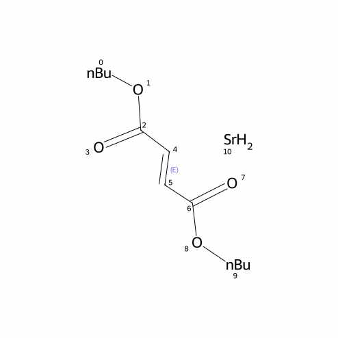 CCCCOC(=O)/C=C/C(=O)OCCCC.[SrH2]